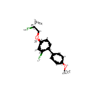 CCCCCCCCOc1ccc(-c2ccc(OC[C@H](F)CCCCCC)cc2F)cc1